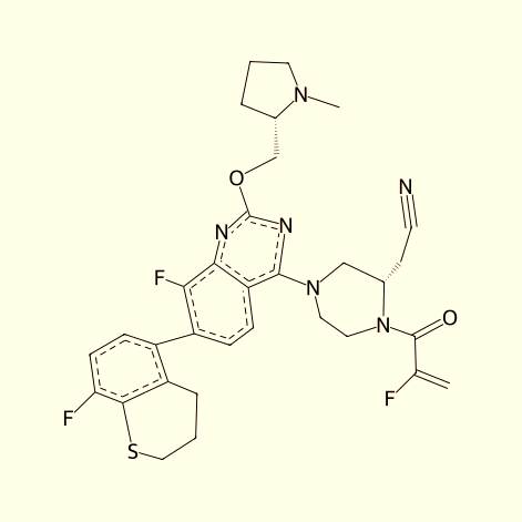 C=C(F)C(=O)N1CCN(c2nc(OC[C@@H]3CCCN3C)nc3c(F)c(-c4ccc(F)c5c4CCCS5)ccc23)C[C@@H]1CC#N